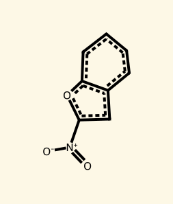 O=[N+]([O-])c1cc2ccccc2o1